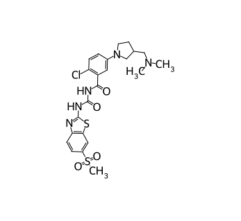 CN(C)CC1CCN(c2ccc(Cl)c(C(=O)NC(=O)Nc3nc4ccc(S(C)(=O)=O)cc4s3)c2)C1